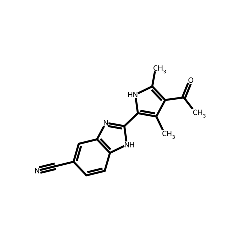 CC(=O)c1c(C)[nH]c(-c2nc3cc(C#N)ccc3[nH]2)c1C